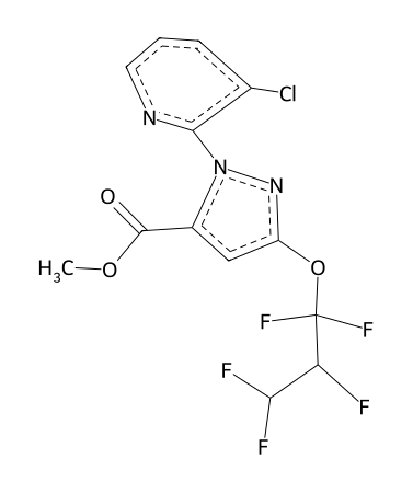 COC(=O)c1cc(OC(F)(F)C(F)C(F)F)nn1-c1ncccc1Cl